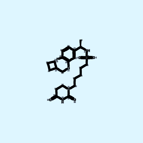 C[C@@H](NS(=O)(=O)CCCCCN1CCC(=O)NC1=O)c1ccc(F)c(OCC2CCC2)c1